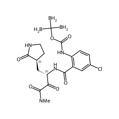 BC(B)(B)OC(=O)Nc1ccc(Cl)cc1C(=O)N[C@@H](C[C@@H]1CCNC1=O)C(=O)C(=O)NC